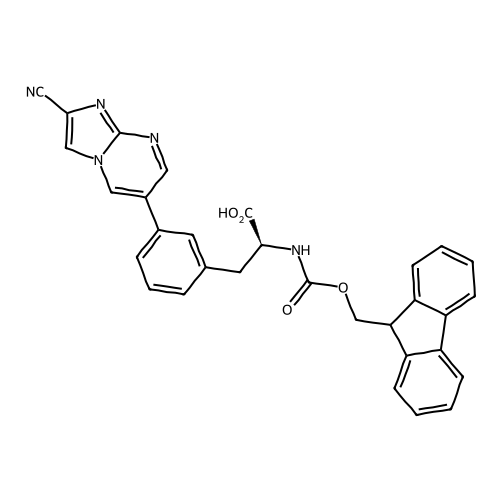 N#Cc1cn2cc(-c3cccc(C[C@H](NC(=O)OCC4c5ccccc5-c5ccccc54)C(=O)O)c3)cnc2n1